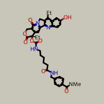 CCc1c2c(nc3ccc(O)cc13)-c1cc3c(c(=O)n1C2)COC(=O)[C@@]3(CC)OC(=O)NCCCCCC(=O)NCc1ccc(C(=O)NC)cc1